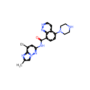 CCc1cc(NC(=O)c2ccc(N3CCNCC3)c3ccnnc23)nn2cc(C)nc12